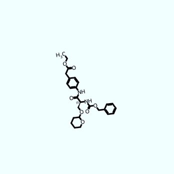 CCOC(=O)Cc1ccc(NC(=O)[C@H](COC2CCCCO2)NC(=O)OCc2ccccc2)cc1